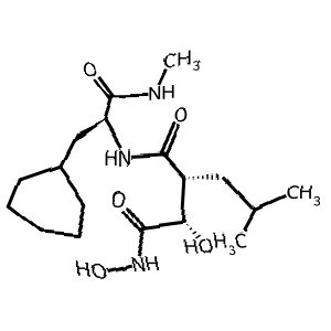 CNC(=O)[C@H](CC1CCCCC1)NC(=O)[C@H](CC(C)C)[C@H](O)C(=O)NO